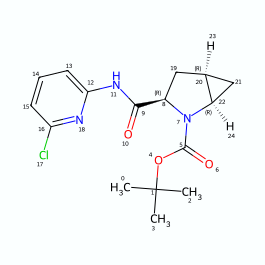 CC(C)(C)OC(=O)N1[C@@H](C(=O)Nc2cccc(Cl)n2)C[C@H]2C[C@H]21